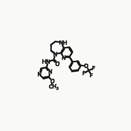 COc1cncc(NC(=O)N2CCCNc3ccc(-c4cccc(OC(F)(F)F)c4)nc32)n1